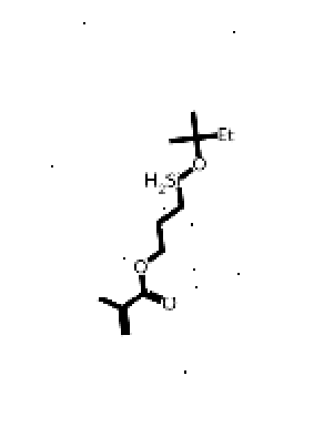 C=C(C)C(=O)OCCC[SiH2]OC(C)(C)CC